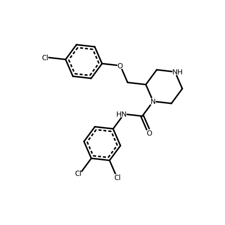 O=C(Nc1ccc(Cl)c(Cl)c1)N1CCNCC1COc1ccc(Cl)cc1